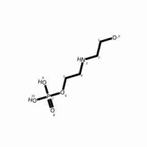 [O]CCNCCOP(=O)(O)O